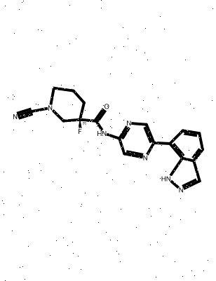 N#CN1CCC[C@](F)(C(=O)Nc2cnc(-c3cccc4cn[nH]c34)cn2)C1